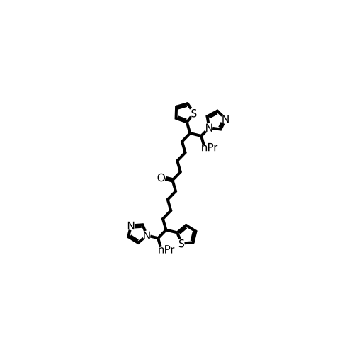 CCCC(C(CCCCC(=O)CCCCC(c1cccs1)C(CCC)n1ccnc1)c1cccs1)n1ccnc1